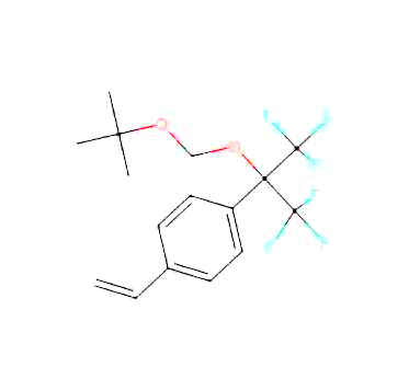 C=Cc1ccc(C(OCOC(C)(C)C)(C(F)(F)F)C(F)(F)F)cc1